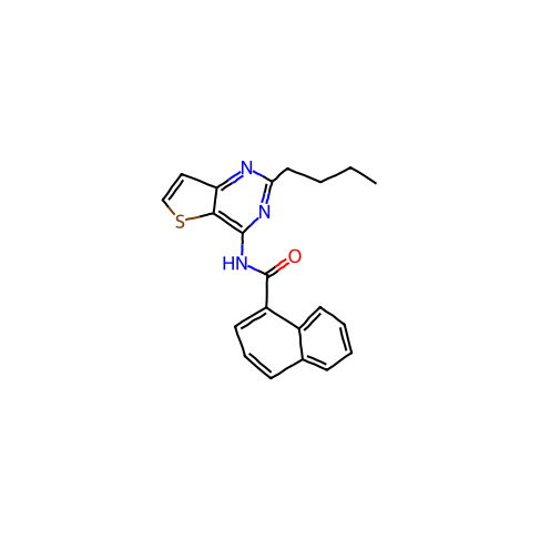 CCCCc1nc(NC(=O)c2cccc3ccccc23)c2sccc2n1